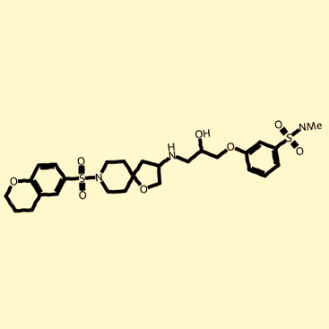 CNS(=O)(=O)c1cccc(OCC(O)CNC2COC3(CCN(S(=O)(=O)c4ccc5c(c4)CCCO5)CC3)C2)c1